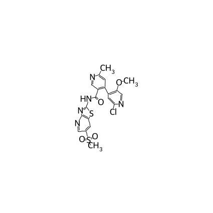 COc1cnc(Cl)cc1-c1cc(C)ncc1C(=O)Nc1nc2ncc(S(C)(=O)=O)cc2s1